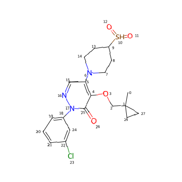 CC1(COc2c(N3CCC([SH](=O)=O)CC3)cnn(-c3cccc(Cl)c3)c2=O)CC1